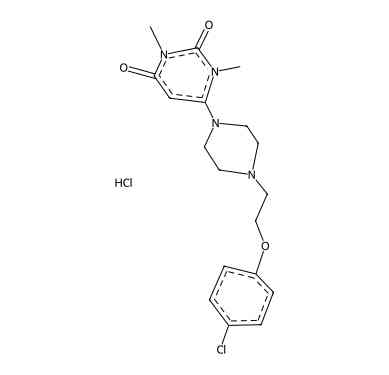 Cl.Cn1c(N2CCN(CCOc3ccc(Cl)cc3)CC2)cc(=O)n(C)c1=O